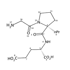 CCC[C@@]1(C(=O)N[C@@H](CCC(=O)O)C(=O)O)CCCN1C(=O)CN